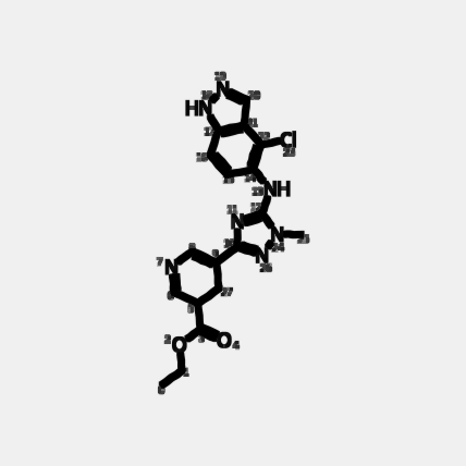 CCOC(=O)C1C=NC=C(c2nc(Nc3ccc4[nH]ncc4c3Cl)n(C)n2)C1